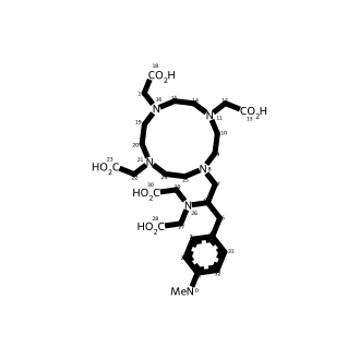 CNc1ccc(CC(CN2CCN(CC(=O)O)CCN(CC(=O)O)CCN(CC(=O)O)CC2)N(CC(=O)O)CC(=O)O)cc1